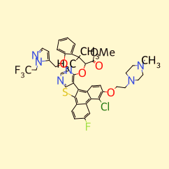 COC(=O)C(Oc1ncnc2sc3c4ccc(F)cc4c4c(Cl)c(OCCN5CCN(C)CC5)ccc4c3c12)C(C)(C)c1ccccc1OCc1ccnn1CC(F)(F)F